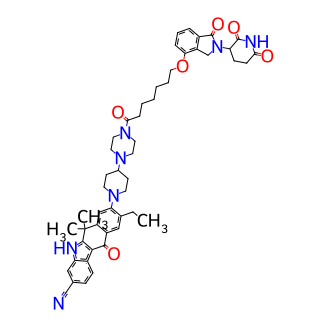 CCc1cc2c(cc1N1CCC(N3CCN(C(=O)CCCCCCOc4cccc5c4CN(C4CCC(=O)NC4=O)C5=O)CC3)CC1)C(C)(C)c1[nH]c3cc(C#N)ccc3c1C2=O